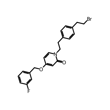 O=c1cc(OCc2cccc(F)c2)ccn1CCc1ccc(CCBr)cc1